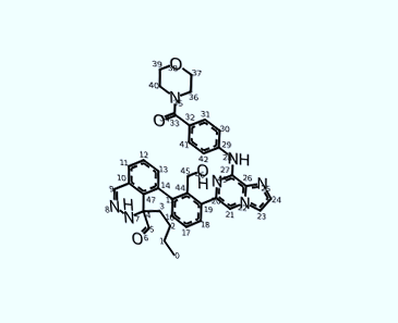 CCCCC1(C=O)NN=Cc2cccc(-c3cccc(-c4cn5ccnc5c(Nc5ccc(C(=O)N6CCOCC6)cc5)n4)c3CO)c21